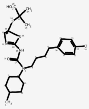 CC1CCC(N(CCCCc2ccc(Cl)cc2)C(=O)Nc2ncc(SC(C)(C)C(=O)O)s2)CC1